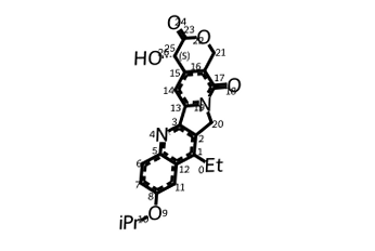 CCc1c2c(nc3ccc(OC(C)C)cc13)-c1cc3c(c(=O)n1C2)COC(=O)[C@H]3O